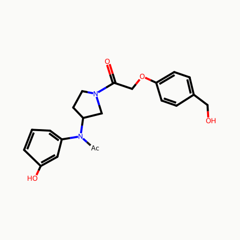 CC(=O)N(c1cccc(O)c1)C1CCN(C(=O)COc2ccc(CO)cc2)C1